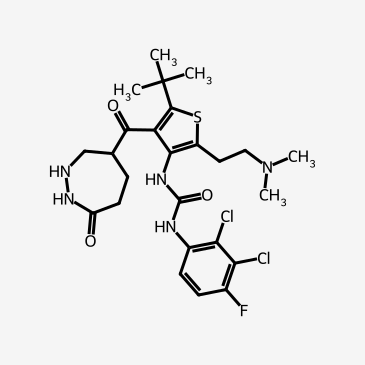 CN(C)CCc1sc(C(C)(C)C)c(C(=O)C2CCC(=O)NNC2)c1NC(=O)Nc1ccc(F)c(Cl)c1Cl